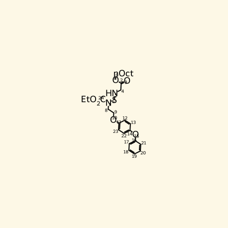 CCCCCCCCOC(=O)CNSN(CCOc1ccc(Oc2ccccc2)cc1)C(=O)OCC